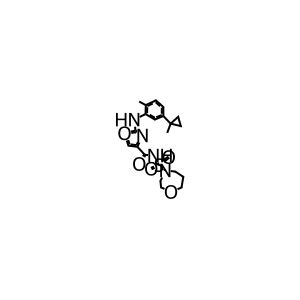 Cc1ccc(C2(C)CC2)cc1Nc1nc(C(=O)NS(=O)(=O)N2CCCOCC2)co1